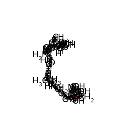 C=c1ccc2c(c1S(=O)(=O)O)Oc1c(ccc(N)c1S(=O)(=O)O)C=2c1cc(C(=O)NCCOCCOCCNC(=O)OCCC(C)(C)SSCOCCCCOC(=O)NCC#Cc2cn(C3C[C@H](OCSSC)[C@@H](CO[PH](=O)O[PH](=O)OP(=O)(O)O)O3)c(=O)nc2N)ccc1C(=O)O